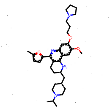 COc1cc2c3c(c(-c4ccc(C)o4)nc2cc1OCCCN1CCCC1)CCC(CC1CCN(C(C)C)CC1)N3